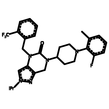 Cc1cccc(F)c1N1CCC(N2Cc3nn(C(C)C)cc3N(Cc3ccccc3C(F)(F)F)C2=O)CC1